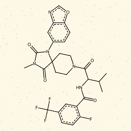 CC(C)C(NC(=O)c1cc(C(F)(F)F)ccc1F)C(=O)N1CCC2(CC1)C(=O)N(C)C(=O)N2c1ccc2ocnc2c1